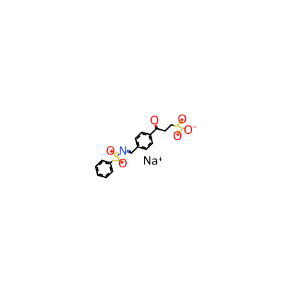 O=C(CCS(=O)(=O)[O-])c1ccc(C=NS(=O)(=O)c2ccccc2)cc1.[Na+]